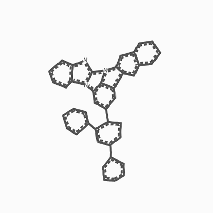 c1ccc(-c2ccc(-c3cc4c5cc6ccccc6cc5n5c4c(c3)n3c4ccccc4nc35)c(-c3ccccc3)c2)cc1